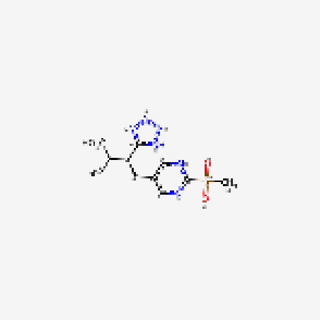 CCCC(C(=O)O)[C@H](Cc1cnc(S(C)(=O)=O)nc1)c1nnn[nH]1